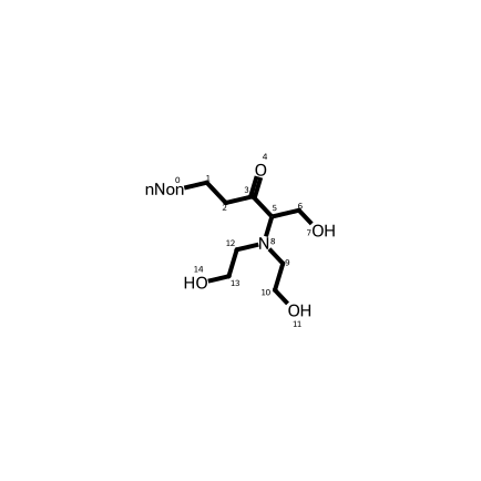 CCCCCCCCCCCC(=O)C(CO)N(CCO)CCO